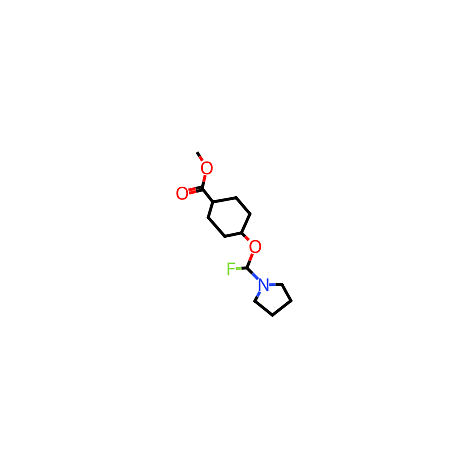 COC(=O)C1CCC(OC(F)N2CCCC2)CC1